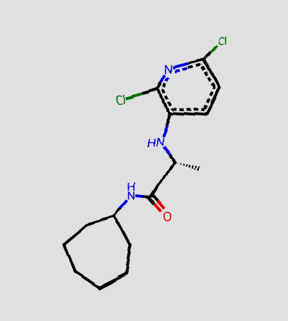 C[C@@H](Nc1ccc(Cl)nc1Cl)C(=O)NC1CCCCCC1